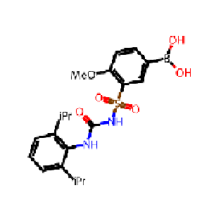 COc1ccc(B(O)O)cc1S(=O)(=O)NC(=O)Nc1c(C(C)C)cccc1C(C)C